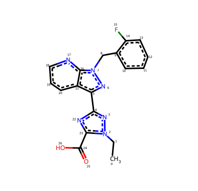 CCn1nc(-c2nn(Cc3ccccc3F)c3ncccc23)nc1C(=O)O